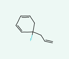 C=CCC1(F)C=CC=CC1